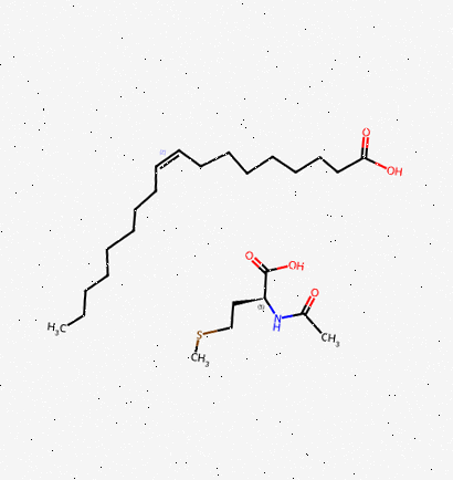 CCCCCCCC/C=C\CCCCCCCC(=O)O.CSCC[C@H](NC(C)=O)C(=O)O